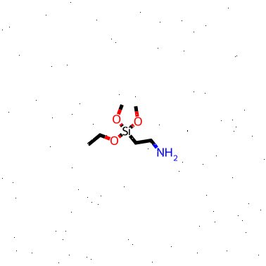 CCO[Si](CCN)(OC)OC